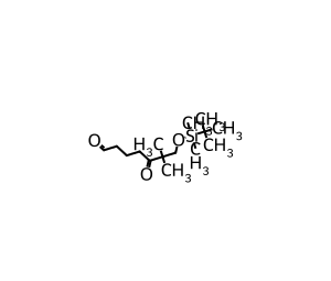 CC(C)(CO[Si](C)(C)C(C)(C)C)C(=O)CCCC=O